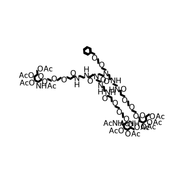 CC(=O)NC1C(OCCOCCOCCC(=O)NCCNC(=O)CN(CCOCCOCc2ccccc2)CCN(CC(=O)NCCNC(=O)CCOCCOCCOC2OC(COC(C)=O)C(OC(C)=O)C(OC(C)=O)C2NC(C)=O)CC(=O)NCCNC(=O)CCOCCOCCOC2OC(COC(C)=O)C(OC(C)=O)C(OC(C)=O)C2NC(C)=O)OC(COC(C)=O)C(OC(C)=O)C1OC(C)=O